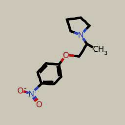 CC(COc1ccc([N+](=O)[O-])cc1)N1CCCC1